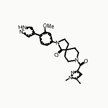 COc1cc(N2CCC3(CCN(C(=O)c4cc(C)n(C)n4)CC3)C2=O)ccc1-c1cn[nH]c1